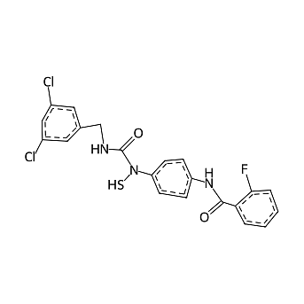 O=C(Nc1ccc(N(S)C(=O)NCc2cc(Cl)cc(Cl)c2)cc1)c1ccccc1F